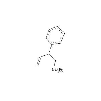 C=CC(CC(=O)OCC)c1ccccc1